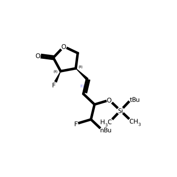 CCCCC(F)C(/C=C/[C@@H]1COC(=O)[C@@H]1F)O[Si](C)(C)C(C)(C)C